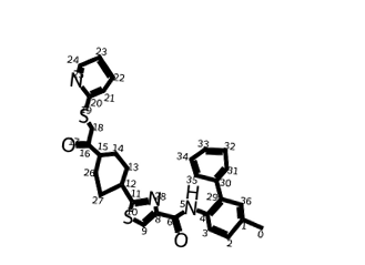 Cc1ccc(NC(=O)c2csc(C3CCC(C(=O)CSc4ccccn4)CC3)n2)c(-c2ccccc2)c1